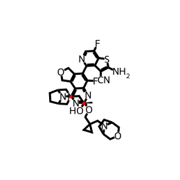 C[C@@H](O)CN1CC2CCC(C1)N2c1nc(OCC2(CN3C4CCC3COC4)CC2)nc2c(F)c(-c3ncc(F)c4sc(N)c(C#N)c34)c3c(c12)COC3